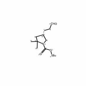 CC(C)(C)OC(=O)N1C[C@@H](CCC=O)CC1(C)C